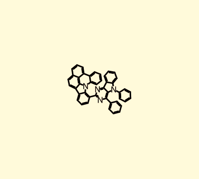 c1ccc(-c2nc(-c3cccc4c5ccc6cccc7c8ccccc8n(c34)c5c67)nc3c4ccccc4n(-c4ccccc4)c23)cc1